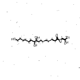 CCC(O)COC(=O)CCCCCCCC(O)C(O)CCCCCCO